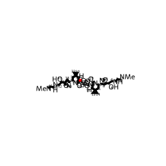 CNCCNC[C@@H](O)c1cc([C@@H]2CC3(CC3)[C@@H]3CN2C(=O)N3OS(=O)(=O)ON2C(=O)N3C[C@H]2C2(CC2)C[C@H]3c2cc([C@H](O)CNCCNC)on2)no1